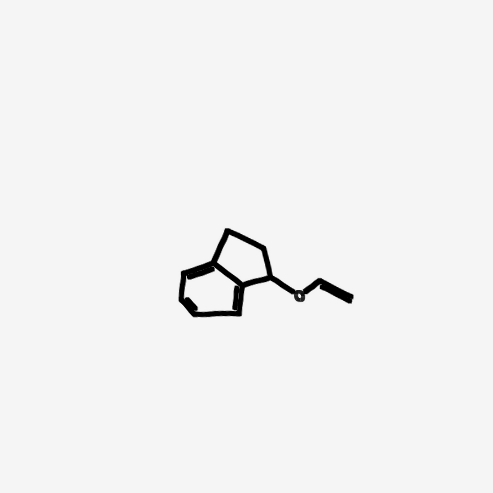 C=COC1CCc2ccccc21